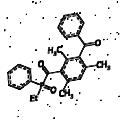 CCP(=O)(C(=O)c1c(C)cc(C)c(C(=O)c2ccccc2)c1C)c1ccccc1